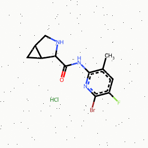 Cc1cc(F)c(Br)nc1NC(=O)C1NCC2CC21.Cl